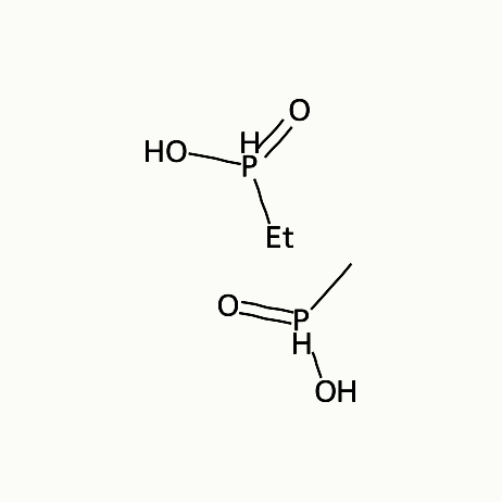 CC[PH](=O)O.C[PH](=O)O